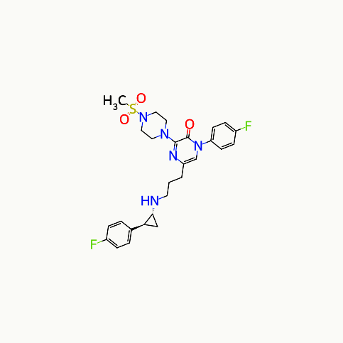 CS(=O)(=O)N1CCN(c2nc(CCCN[C@@H]3C[C@H]3c3ccc(F)cc3)cn(-c3ccc(F)cc3)c2=O)CC1